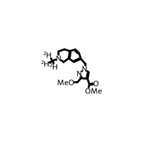 [2H]C([2H])([2H])N1CCc2ccc(Cn3cc(C(=O)OC)c(COC)n3)cc2C1